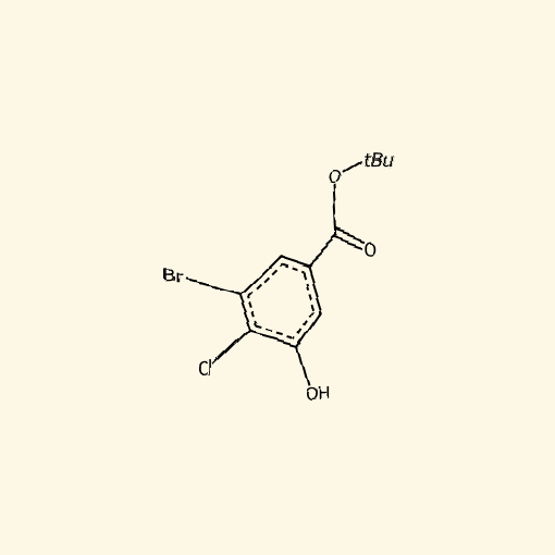 CC(C)(C)OC(=O)c1cc(O)c(Cl)c(Br)c1